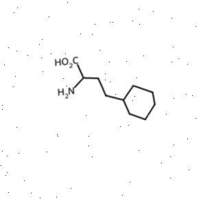 NC(CCC1CCCCC1)C(=O)O